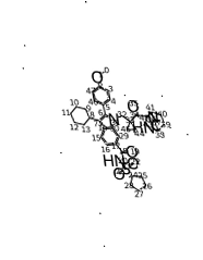 COc1ccc(-c2c(C3CCCCC3)c3ccc(C(=O)NS(=O)(=O)C4CCCC4)cc3n2CC2(C(=O)N3CC4CCC3CN4)CC2)cc1